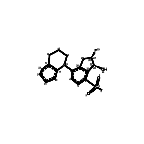 CS(=O)(=O)c1ccc(N2CCCc3ccccc32)c2c1[C@H](O)[C@H](F)C2